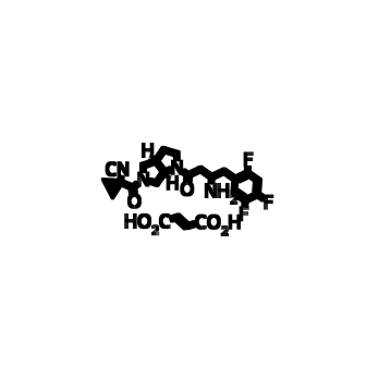 N#CC1(C(=O)N2C[C@@H]3CCN(C(=O)CC(N)Cc4cc(F)c(F)cc4F)[C@@H]3C2)CC1.O=C(O)C=CC(=O)O